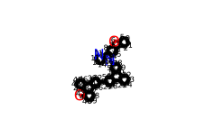 c1ccc2c(c1)oc1cc3c4ncccc4n(-c4ccc5c6ccccc6c6ccc(-c7ccc8c(c7)c7cccc9oc%10cccc8c%10c97)cc6c5c4)c3cc12